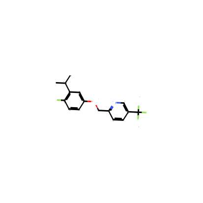 CC(C)c1cc(OCc2ccc(C(F)(F)F)cn2)ccc1F